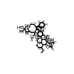 CCC1=CCN2CC[C@]34c5cc([C@@]6(C(=O)OC)C[C@@H]7CN(CCc8c6[nH]c6ccccc86)C[C@](O)(CC)C7)c(OC)cc5N(C)[C@H]3[C@@](O)(C(=O)OC)[C@H](OC(C)=O)C1C24